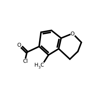 Cc1c(C(=O)Cl)ccc2c1CCCO2